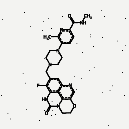 CNC(=O)c1ccc(N2CCN(Cc3cc4ncc5c6c4c(c3F)NC(=O)N6CCO5)CC2)c(C)n1